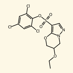 CCOC1COc2c(S(=O)(=O)Oc3c(Cl)cc(Cl)cc3Cl)cnn2C1